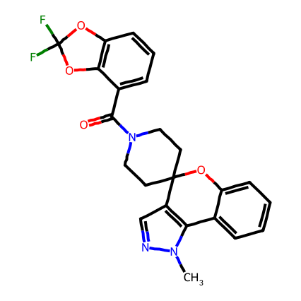 Cn1ncc2c1-c1ccccc1OC21CCN(C(=O)c2cccc3c2OC(F)(F)O3)CC1